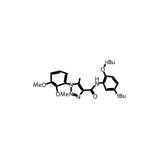 CCCCOc1ccc(C(C)(C)C)cc1NC(=O)c1nnn(-c2cccc(OC)c2OC)c1C